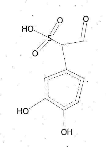 O=[C]C(c1ccc(O)c(O)c1)S(=O)(=O)O